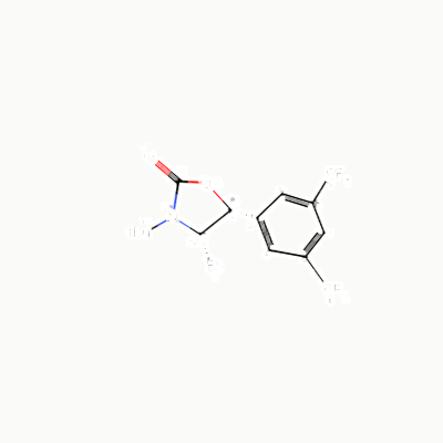 CC[C@H]1[C@@H](c2cc(C(F)(F)F)cc(C(F)(F)F)c2)OC(=O)N1C(C)(C)C